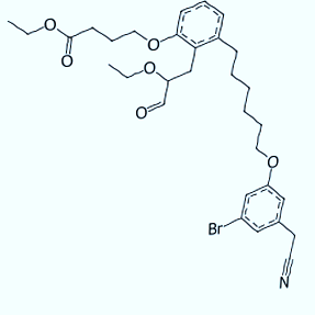 CCOC(=O)CCCOc1cccc(CCCCCCOc2cc(Br)cc(CC#N)c2)c1CC(C=O)OCC